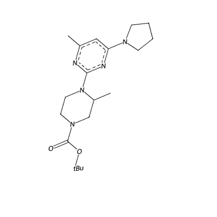 Cc1cc(N2CCCC2)nc(N2CCN(C(=O)OC(C)(C)C)CC2C)n1